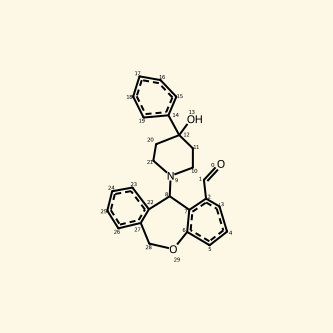 O=Cc1[c]ccc2c1C(N1CCC(O)(c3ccccc3)CC1)c1ccccc1CO2